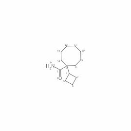 NC(=O)C1(C2CCC2)CCCCCCC1